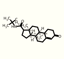 CC(C)(C)NC(=O)C1CC[C@H]2[C@@H]3CCC4=CC(=O)CC[C@]4(C)[C@@H]3CC[C@]12C